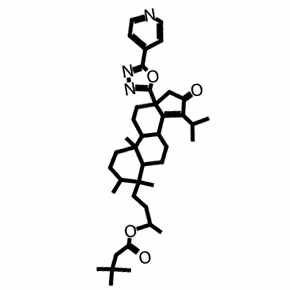 CC(CCC1(C)C(C)CCC2(C)C3CCC4(c5nnc(-c6ccncc6)o5)CC(=O)C(C(C)C)=C4C3CCC12)OC(=O)CC(C)(C)C